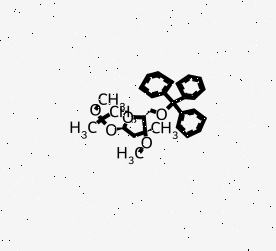 COC(C)(C)O[C@@H]1C[C@](C)(OC)[C@@H](COC(c2ccccc2)(c2ccccc2)c2ccccc2)O1